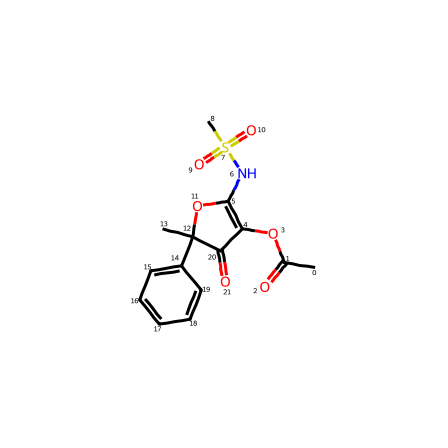 CC(=O)OC1=C(NS(C)(=O)=O)OC(C)(c2ccccc2)C1=O